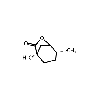 C[C@@H]1CC[C@]2(C)CC1OC2=O